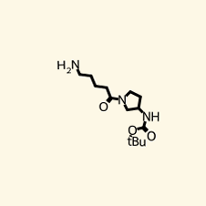 CC(C)(C)OC(=O)NC1CCN(C(=O)CCCCN)C1